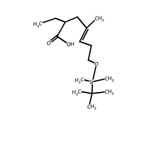 CCC(CC(C)=CCCO[Si](C)(C)C(C)(C)C)C(=O)O